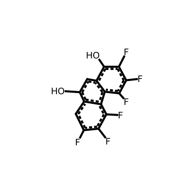 Oc1cc2c(O)c(F)c(F)c(F)c2c2c(F)c(F)c(F)cc12